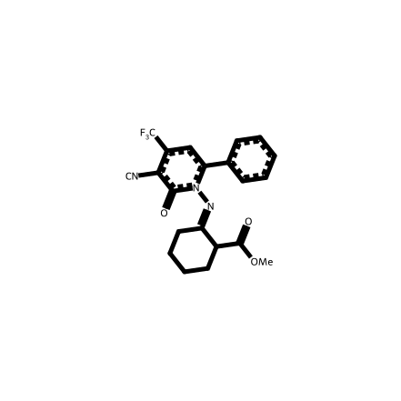 [C-]#[N+]c1c(C(F)(F)F)cc(-c2ccccc2)n(/N=C2\CCCCC2C(=O)OC)c1=O